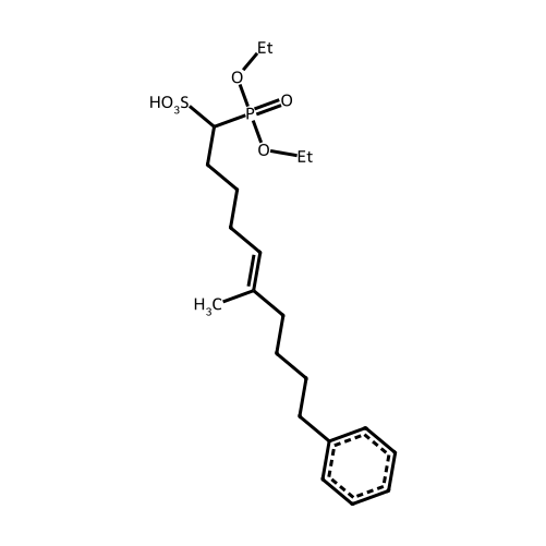 CCOP(=O)(OCC)C(CCC/C=C(\C)CCCCc1ccccc1)S(=O)(=O)O